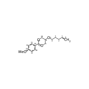 C=CCCCOC1COC(c2ccc(OC)cc2)OC1